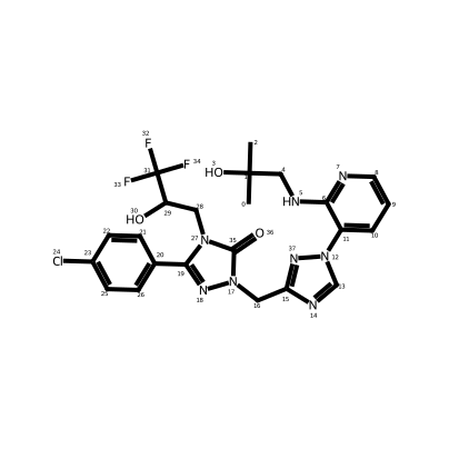 CC(C)(O)CNc1ncccc1-n1cnc(Cn2nc(-c3ccc(Cl)cc3)n(CC(O)C(F)(F)F)c2=O)n1